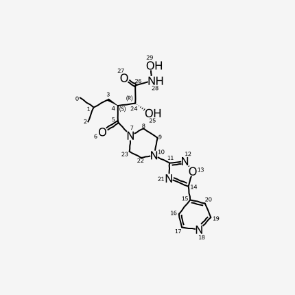 CC(C)C[C@H](C(=O)N1CCN(c2noc(-c3ccncc3)n2)CC1)[C@@H](O)C(=O)NO